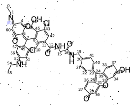 CC/N=c1\ccc2c(-c3c(Cl)c(C(=O)NCC(=O)NCc4ccc(-c5c6ccc(=O)cc-6oc6cc(O)ccc56)cc4)cc(Cl)c3C(=O)O)c3ccc(NCC)cc3oc-2c1